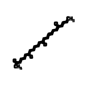 CCCCC(=O)CCC=CCCC(=O)CCCCCC(=O)CCCCC(C)=O